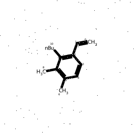 C=Cc1ccc(C)c(C)c1CCCC